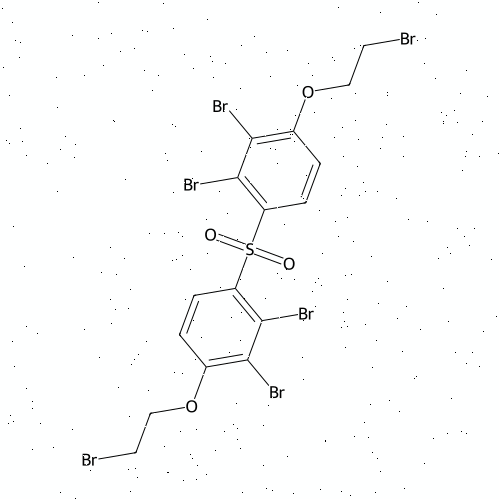 O=S(=O)(c1ccc(OCCBr)c(Br)c1Br)c1ccc(OCCBr)c(Br)c1Br